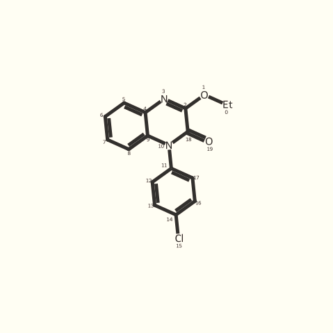 CCOc1nc2ccccc2n(-c2ccc(Cl)cc2)c1=O